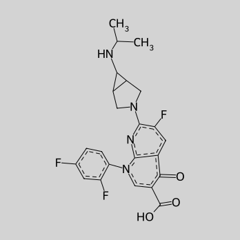 CC(C)NC1C2CN(c3nc4c(cc3F)c(=O)c(C(=O)O)cn4-c3ccc(F)cc3F)CC21